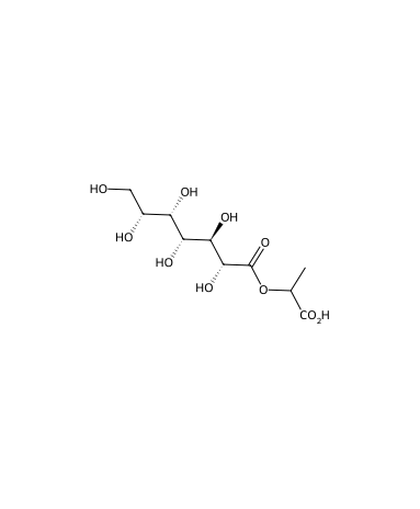 CC(OC(=O)[C@H](O)[C@H](O)[C@H](O)[C@@H](O)[C@H](O)CO)C(=O)O